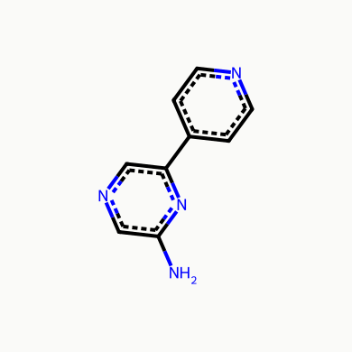 Nc1cncc(-c2ccncc2)n1